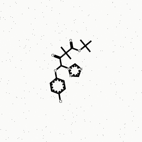 CC(C)(C)OC(=O)C(C)(C)C(=O)C(Oc1ccc(Cl)cc1)n1cncn1